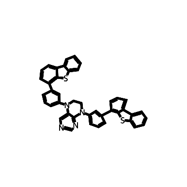 c1cc(-c2cccc3c2sc2ccccc23)cc(N2CCN(c3cccc(-c4cccc5c4sc4ccccc45)c3)c3ncncc32)c1